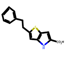 O=C(O)c1cc2sc(CCc3ccccc3)cc2[nH]1